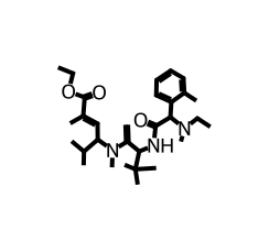 C=C(C(NC(=O)C(c1ccccc1C)N(C)CC)C(C)(C)C)N(C)C(/C=C(\C)C(=O)OCC)C(C)C